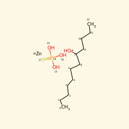 CCCCCCCC(O)CCCC.OP(O)(O)=S.[Zn]